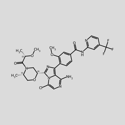 COc1cc(C(=O)Nc2cc(C(F)(F)F)ccn2)ccc1-c1nc([C@H]2CN(C(=O)[C@H](C)OC)[C@@H](C)CO2)n2c(Cl)cnc(N)c12